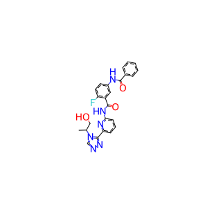 CC(CO)n1cnnc1-c1cccc(NC(=O)c2cc(NC(=O)c3ccccc3)ccc2F)n1